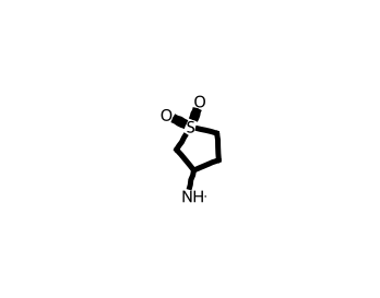 [NH]C1CCS(=O)(=O)C1